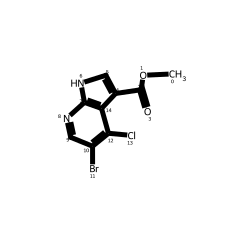 COC(=O)c1c[nH]c2ncc(Br)c(Cl)c12